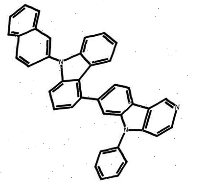 c1ccc(-n2c3ccncc3c3ccc(-c4cccc5c4c4ccccc4n5-c4ccc5ccccc5c4)cc32)cc1